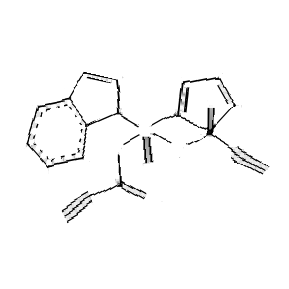 C#CC(=O)[O][Ti](=[CH2])([O]C(=O)C#C)([C]1=CC=CC1)[CH]1C=Cc2ccccc21